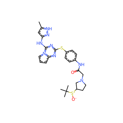 Cc1cc(Nc2nc(Sc3ccc(NC(=O)CN4CCC([S+]([O-])C(C)(C)C)C4)cc3)nc3cccn23)n[nH]1